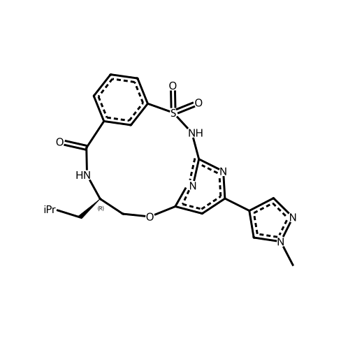 CC(C)C[C@@H]1COc2cc(-c3cnn(C)c3)nc(n2)NS(=O)(=O)c2cccc(c2)C(=O)N1